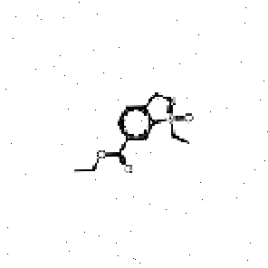 CCOC(=O)c1ccc2c(c1)S(=O)(CC)=NC2